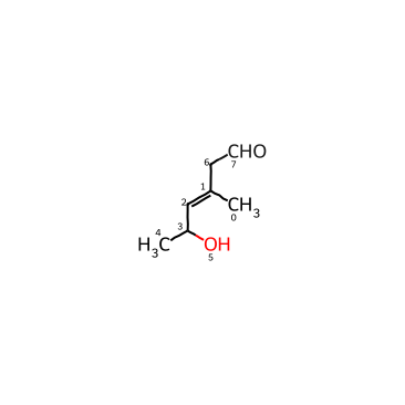 C/C(=C\C(C)O)CC=O